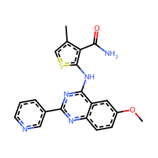 COc1ccc2nc(-c3cccnc3)nc(Nc3scc(C)c3C(N)=O)c2c1